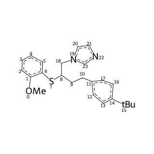 COc1ccccc1SC(CCc1ccc(C(C)(C)C)cc1)Cn1ccnc1